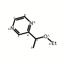 CCOC(C)c1cnccn1